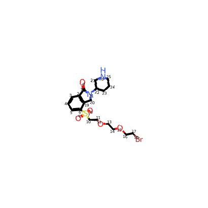 O=C1c2cccc(S(=O)(=O)CCOCCOCCBr)c2CN1C1CCCNC1